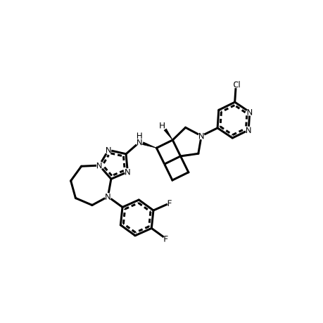 Fc1ccc(N2CCCCn3nc(N[C@@H]4C5CCC56CN(c5cnnc(Cl)c5)C[C@@H]46)nc32)cc1F